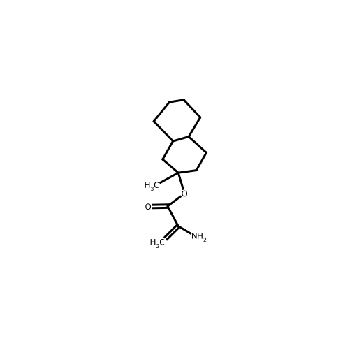 C=C(N)C(=O)OC1(C)CCC2CCCCC2C1